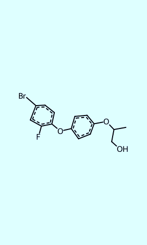 CC(CO)Oc1ccc(Oc2ccc(Br)cc2F)cc1